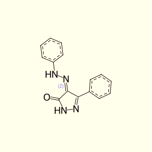 O=C1NN=C(c2ccccc2)/C1=N/Nc1ccccc1